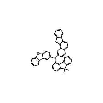 CC1(C)c2ccccc2-c2c(N(c3ccc4sc5ccccc5c4c3)c3ccc4ccc5c6ccccc6sc5c4c3)cccc21